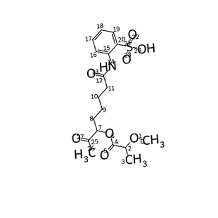 COC(C)C(=O)OC(CCCCC(=O)Nc1ccccc1S(=O)(=O)O)C(C)=O